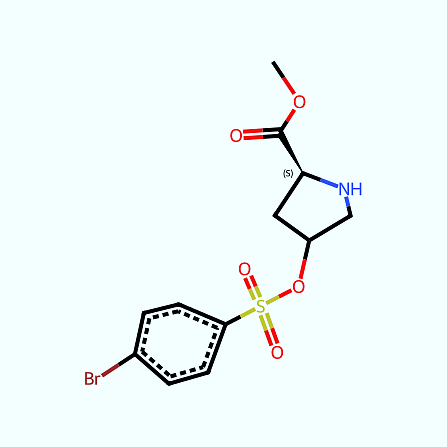 COC(=O)[C@@H]1CC(OS(=O)(=O)c2ccc(Br)cc2)CN1